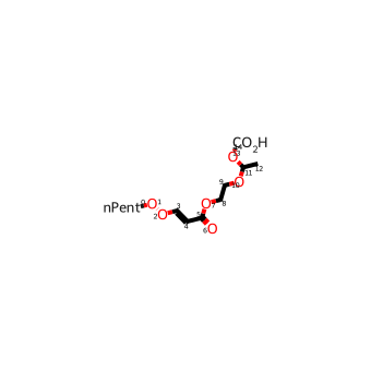 CCCCCOOC=CC(=O)OCCOC(C)OC(=O)O